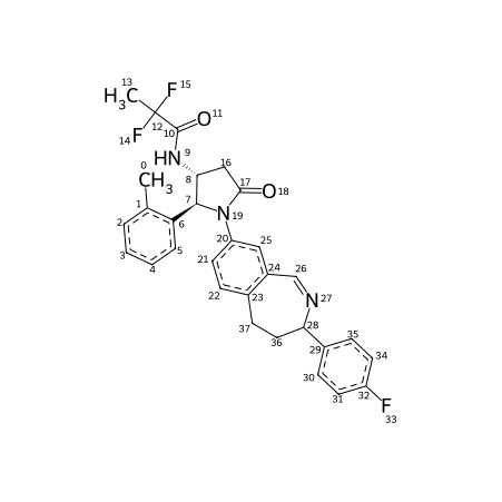 Cc1ccccc1[C@H]1[C@H](NC(=O)C(C)(F)F)CC(=O)N1c1ccc2c(c1)C=NC(c1ccc(F)cc1)CC2